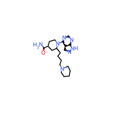 NC(=O)C1CCN(c2ncnc3[nH]ncc23)C(CCCCN2CCCCC2)C1